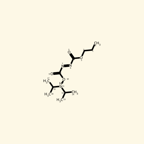 CCCOC(=O)N=NC(=O)O[SiH](C(C)C)C(C)C